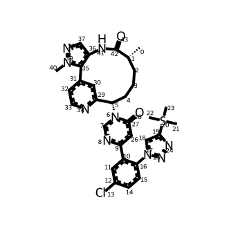 C[C@@H]1CCC[C@H](n2cnc(-c3cc(Cl)ccc3-n3cc(S(C)(C)C)nn3)cc2=O)c2cc(ccn2)-c2c(cnn2C)NC1=O